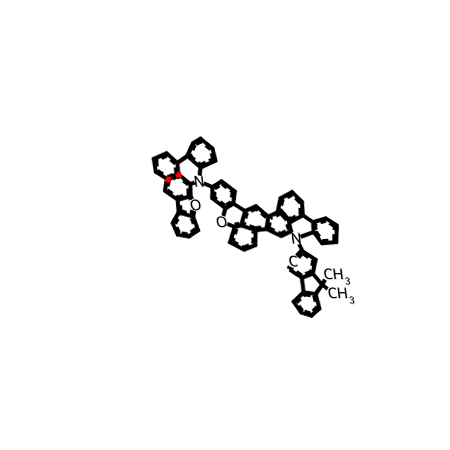 CC1(C)c2ccccc2-c2ccc(N(c3ccc4cc5c6c(cccc6c4c3)Oc3cc(N(c4ccccc4-c4ccccc4)c4cccc6c4oc4ccccc46)ccc3-5)c3ccccc3-c3ccccc3)cc21